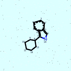 C1=c2ccccc2=C(C2CCCCC2)[N]1